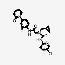 O=C(CN(CC1CC1)C(=O)Nc1ccc(Cl)cn1)Nc1ccc(-n2ccccc2=O)cc1F